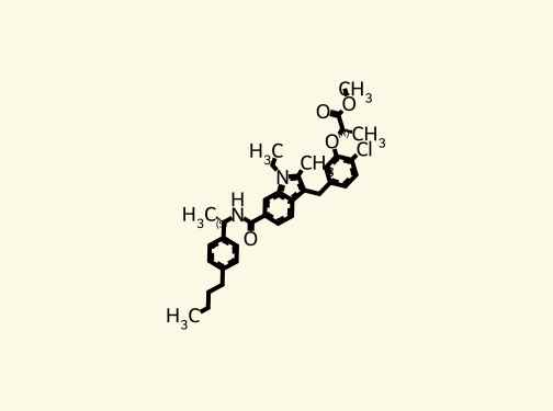 CCCCc1ccc([C@H](C)NC(=O)c2ccc3c(Cc4ccc(Cl)c(O[C@H](C)C(=O)OC)c4)c(C)n(CC)c3c2)cc1